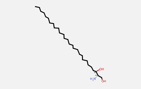 CCCCCCCCCCCCCCCCCCCCCCCCC[C@@H](O)[C@@H](N)CO